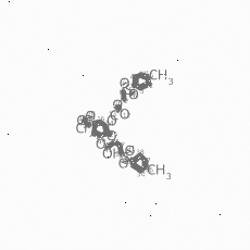 Cc1ccc(S(=O)(=O)CCOC(=O)COc2cc(S(=O)(=O)Cl)ccc2OC(CCS(=O)(=O)c2ccc(C)cc2)C(=O)O)cc1